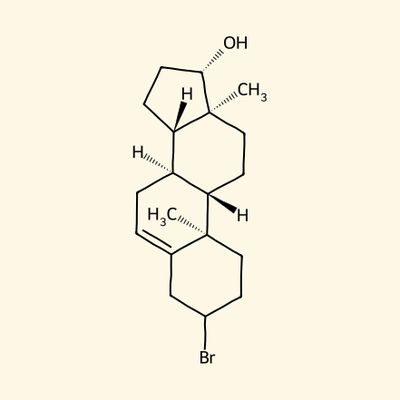 C[C@]12CC[C@H]3[C@@H](CC=C4CC(Br)CC[C@@]43C)[C@@H]1CC[C@@H]2O